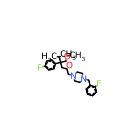 COC(=O)C(CCCN1CCN(Cc2ccccc2F)CC1)(c1ccc(F)cc1)C(C)C